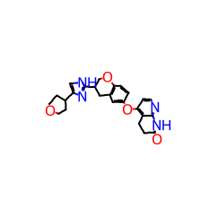 O=C1CCc2c(Oc3ccc4c(c3)CC(c3nc(C5CCOCC5)c[nH]3)CO4)ccnc2N1